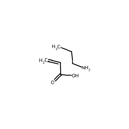 C=CC(=O)O.CCCN